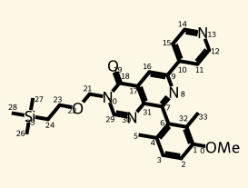 COc1ccc(C)c(-c2nc(-c3ccncc3)cc3c(=O)n(COCC[Si](C)(C)C)cnc23)c1C